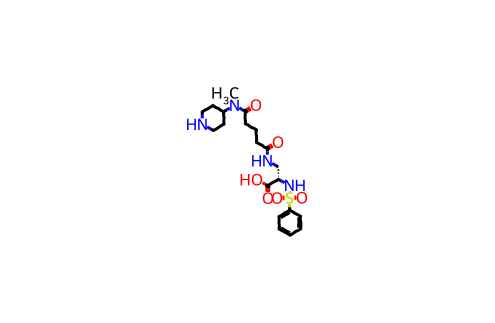 CN(C(=O)CCCC(=O)NC[C@H](NS(=O)(=O)c1ccccc1)C(=O)O)C1CCNCC1